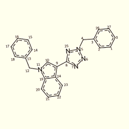 c1ccc(Cn2nnc(-c3cn(Cc4ccccc4)c4ccccc34)n2)cc1